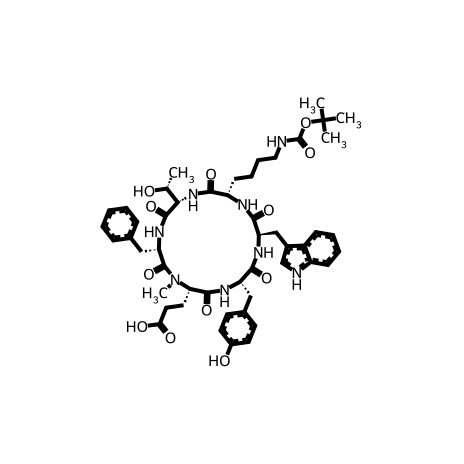 C[C@@H](O)[C@@H]1NC(=O)[C@H](CCCCNC(=O)OC(C)(C)C)NC(=O)[C@@H](Cc2c[nH]c3ccccc23)NC(=O)[C@H](Cc2ccc(O)cc2)NC(=O)[C@H](CCC(=O)O)N(C)C(=O)[C@H](Cc2ccccc2)NC1=O